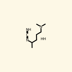 CC(CCCN(C)C)N=C=N.[HH]